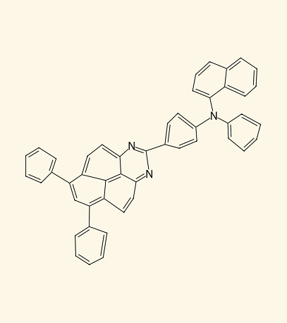 c1ccc(-c2cc(-c3ccccc3)c3ccc4nc(-c5ccc(N(c6ccccc6)c6cccc7ccccc67)cc5)nc5ccc2c3c54)cc1